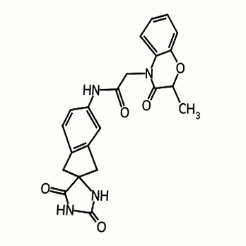 CC1Oc2ccccc2N(CC(=O)Nc2ccc3c(c2)CC2(C3)NC(=O)NC2=O)C1=O